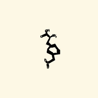 N[C@@H](Cc1cccc(C=S(=O)=O)c1)C(=O)O